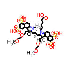 CCN1c2ccc3c(S(=O)(=O)O)cc(S(=O)(=O)O)cc3c2C(C)(CCOCCOC)C1C=CC=C1N(CCCCCC(=O)O)c2ccc3c(S(=O)(=O)O)cc(S(=O)(=O)O)cc3c2C1(C)CCOCCOC